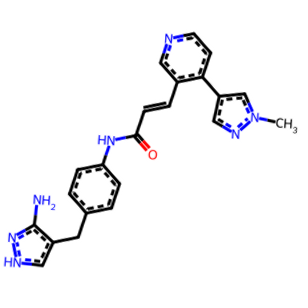 Cn1cc(-c2ccncc2/C=C/C(=O)Nc2ccc(Cc3c[nH]nc3N)cc2)cn1